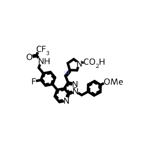 COc1ccc(Cn2nc(/C=C3/CCN(C(=O)O)C3)c3c(-c4ccc(CNC(=O)C(F)(F)F)c(F)c4)ccnc32)cc1